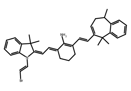 CC1CC=C(/C=C/C2=C(N)C(=C/C=C3/N(/C=C/Br)c4ccccc4C3(C)C)/CCC2)C(C)(C)c2ccccc21